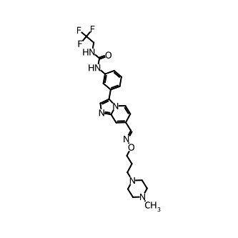 CN1CCN(CCCON=Cc2ccn3c(-c4cccc(NC(=O)NCC(F)(F)F)c4)cnc3c2)CC1